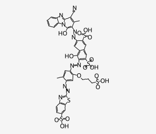 Cc1cc(N=Nc2c(S(=O)(=O)O)cc3cc(S(=O)(=O)O)c(N=Nc4c(C)c(C#N)c5nc6ccccc6n5c4O)cc3c2O)c(OCCCS(=O)(=O)O)cc1N=Nc1nc2ccc(S(=O)(=O)O)cc2s1